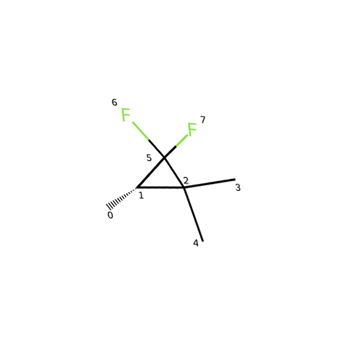 C[C@H]1C(C)(C)C1(F)F